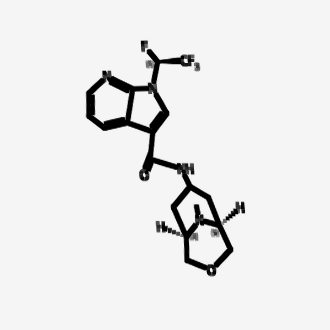 CN1[C@@H]2COC[C@H]1CC(NC(=O)c1cn([C@@H](F)C(F)(F)F)c3ncccc13)C2